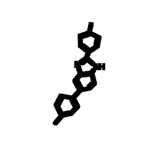 Cc1ccc(-c2ccc3[nH]c(-c4ccc(C)cc4)nc3c2)cc1